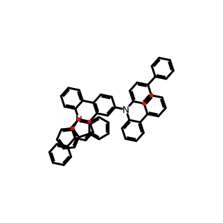 c1ccc(-c2ccc(-c3cc(N(c4ccc(-c5ccccc5)cc4)c4ccccc4-c4ccccc4)ccc3-c3ccccc3-n3c4ccccc4c4ccccc43)cc2)cc1